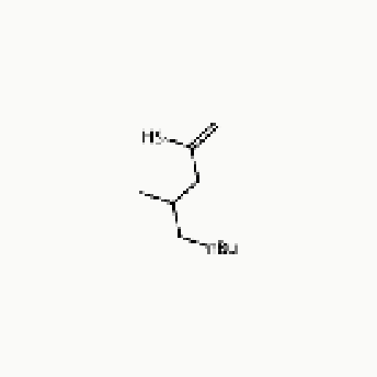 C=C(S)CC(C)CCCCC